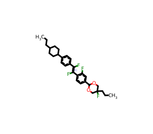 CCCC1CCC(c2ccc(/C(F)=C(\F)c3ccc(C4OCC(F)(CCC)CO4)cc3F)cc2)CC1